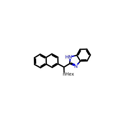 CCCCCCC(c1ccc2ccccc2c1)c1nc2ccccc2[nH]1